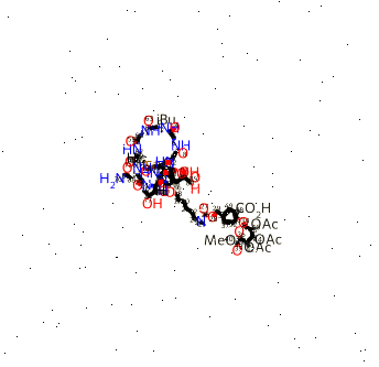 CC[C@H](C)[C@@H]1NC(=O)CNC(=O)C2Cc3c([nH]c4cc(OCCCCCCN(C)C(=O)OCc5ccc(OC6O[C@H](C(=O)OC)C(OC(C)=O)[C@H](OC(C)=O)[C@H]6OC(C)=O)c(C(=O)O)c5)ccc34)[S+]([O-])C[C@H](NC(=O)CNC1=O)C(=O)N[C@@H](CC(N)=O)C(=O)N1C[C@H](O)C[C@H]1C(=O)N[C@@H]([C@@H](C)[C@@H](O)CO)C(=O)N2